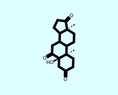 C[C@]12CCC3C(CC(=O)[C@@]4(O)CC(=O)CC[C@]34C)C1CCC2=O